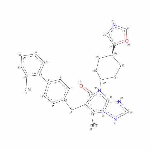 CCCc1c(Cc2ccc(-c3ccccc3C#N)cc2)c(=O)n([C@H]2CC[C@H](c3cnco3)CC2)c2ncnn12